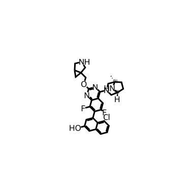 C[C@@]12CC[C@H](CN(c3nc(OCC45CNCC4C5)nc4c(F)c(-c5cc(O)cc6cccc(Cl)c56)c(F)cc34)C1)N2